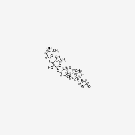 CC1O[C@@H](O[C@@H]2[C@H](O)C(O[C@H]3CCC4(C)C5CCC6(C)[C@@H](C7=CC(=O)OC7)CC[C@]6(O)C5CC[C@@H]4C3)OC(C)[C@@H]2O)C=C[C@H]1O